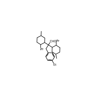 CCc1ccc(CC(C=O)(C2CC(C)CCC2C(C)C)C2CC(C)CCC2C(C)C)cc1